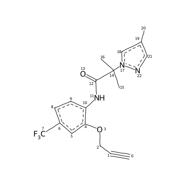 C#CCOc1cc(C(F)(F)F)ccc1NC(=O)C(C)(C)n1cc(C)cn1